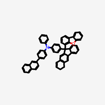 C1=Cc2cc3c(cc2CC1)-c1ccccc1C3(c1ccc(N(c2ccccc2)c2ccc(-c3ccc4ccccc4c3)cc2)cc1)c1cccc2c1oc1ccccc12